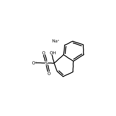 O=S(=O)([O-])C1(O)C=CCc2ccccc21.[Na+]